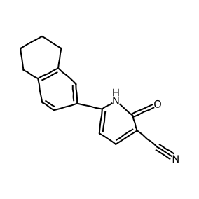 N#Cc1ccc(-c2ccc3c(c2)CCCC3)[nH]c1=O